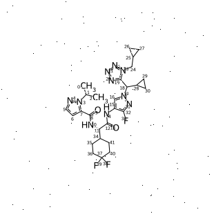 CC(C)n1nccc1C(=O)N[C@H](C(=O)Nc1cn(C(c2nnnn2CC2CC2)C2CC2)nc1F)C1CCC(F)(F)CC1